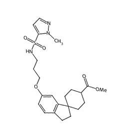 COC(=O)C1CCC2(CCc3ccc(OCCCNS(=O)(=O)c4ccnn4C)cc32)CC1